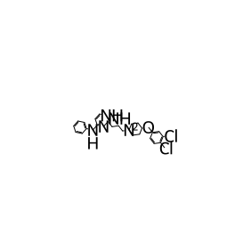 NC1(CCCN2CCC(Oc3ccc(Cl)c(Cl)c3)CC2)N=C(Nc2ccccc2)C=CN1